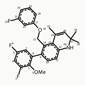 COc1c(F)cc(F)cc1-c1ccc2c(c1COc1cccc(F)c1)C(C)=CC(C)(C)N2